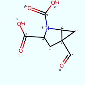 O=CC12CC(C(=O)O)N(C(=O)O)C1C2